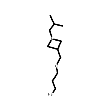 CC(C)CN1CC(COCCCS)C1